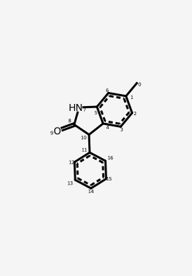 Cc1ccc2c(c1)NC(=O)C2c1ccccc1